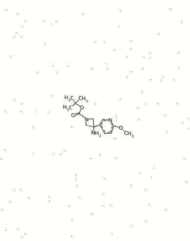 COc1ccc(C2(N)CN(C(=O)OC(C)(C)C)C2)cn1